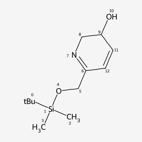 CC(C)(C)[Si](C)(C)OCC1=NCC(O)C=C1